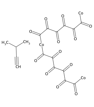 C#CC(C)C.O=[C]([Co])C(=O)C(=O)C(=O)C(=O)[C](=O)[Co][C](=O)C(=O)C(=O)C(=O)C(=O)[C](=O)[Co]